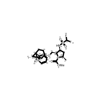 COC(=O)N1[C@H](C)C[C@H](NS(=O)(=O)C(F)F)[C@@H]1CO[C@H]1CC[C@]2(c3ncccn3)[C@H](C1)[C@@H]2C